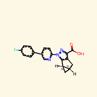 O=C(O)c1nn(-c2ccc(-c3ccc(F)cc3)cn2)c2c1C[C@@H]1C[C@H]21